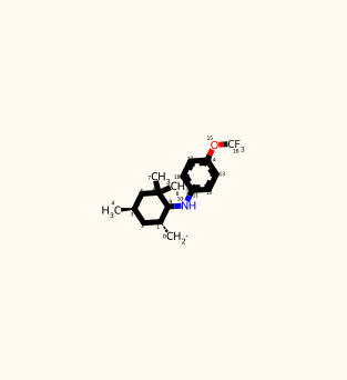 [CH2][C@@H]1C[C@@H](C)CC(C)(C)C1Nc1ccc(OC(F)(F)F)cc1